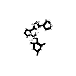 Cc1cc(C)c(CS(=O)(=O)N2CCCC2c2nnc(-c3ccncc3)o2)c(C)c1